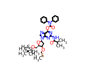 CSCOC1C[C@H](n2cnc3c(OC(=O)N(c4ccccc4)c4ccccc4)nc(NC(=O)C(C)C)nc32)O[C@@H]1CO[Si](C)(C)C(C)(C)C